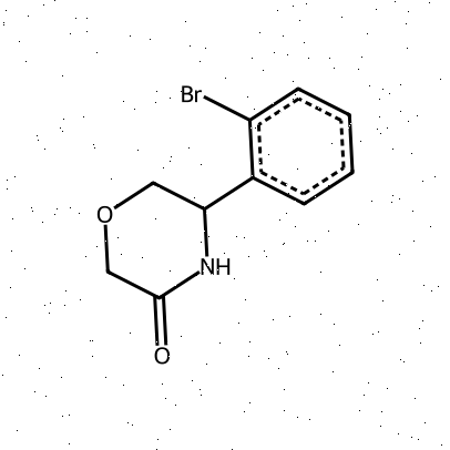 O=C1COCC(c2ccccc2Br)N1